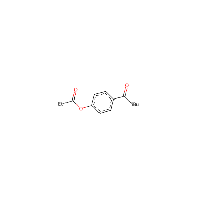 CCC(=O)Oc1ccc(C(=O)C(C)CC)cc1